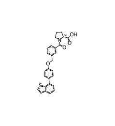 O=C(O)[C@@H]1CCCN1C(=O)c1cccc(COc2ccc(-c3cccc4ccsc34)cc2)c1